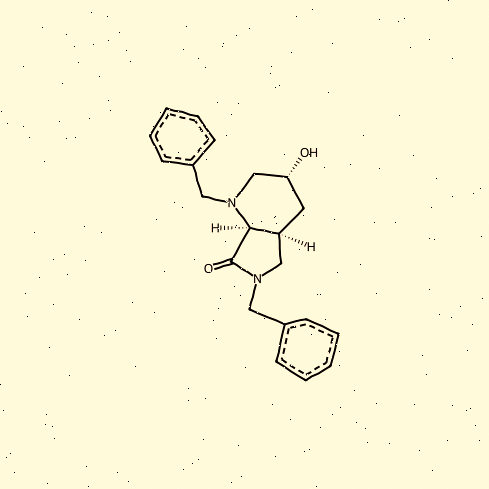 O=C1[C@@H]2[C@@H](C[C@@H](O)CN2Cc2ccccc2)CN1Cc1ccccc1